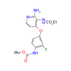 CCOC(=O)Nc1c(Oc2ccc(NC(=O)OC(C)(C)C)c(F)c2)ccnc1N